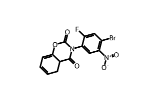 O=C1OC2=CC=CCC2C(=O)N1c1cc([N+](=O)[O-])c(Br)cc1F